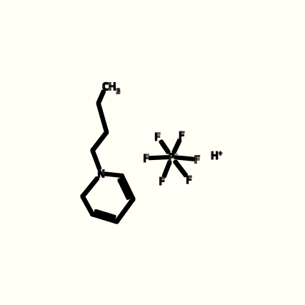 CCCCN1C=CC=CC1.F[P-](F)(F)(F)(F)F.[H+]